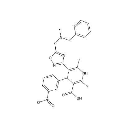 CC1=C(C(=O)O)C(c2cccc([N+](=O)[O-])c2)C(c2noc(CN(C)Cc3ccccc3)n2)=C(C)N1